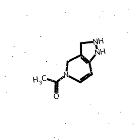 CC(=O)N1C=CC2=C(CNN2)C1